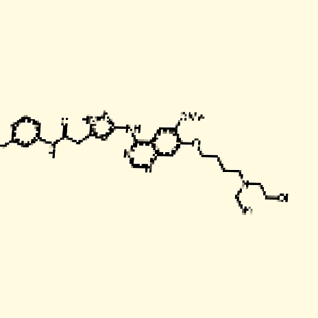 COc1cc2c(Nc3cc(CC(=O)Nc4cccc(F)c4)[nH]n3)ncnc2cc1OCCCCN(CCO)CC(C)C